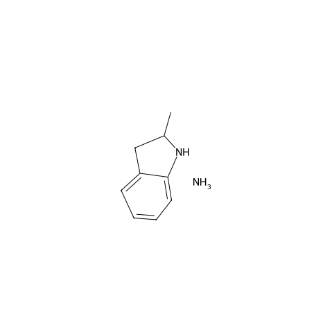 CC1Cc2ccccc2N1.N